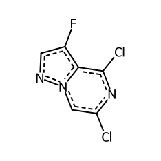 Fc1cnn2cc(Cl)nc(Cl)c12